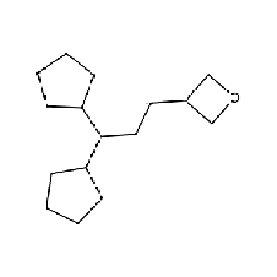 [CH](CC(C1CCCC1)C1CCCC1)C1COC1